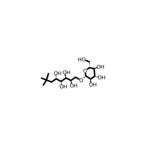 CC(C)(C)C[C@H](O)[C@@H](O)[C@@H](O)[C@H](O)CO[C@@H]1O[C@H](CO)[C@@H](O)[C@H](O)[C@H]1O